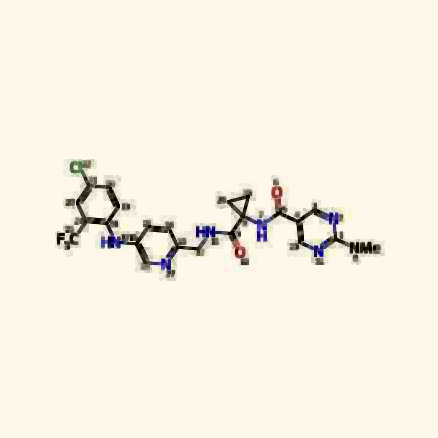 CNc1ncc(C(=O)NC2(C(=O)NCc3ccc(Nc4ccc(Cl)cc4C(F)(F)F)cn3)CC2)cn1